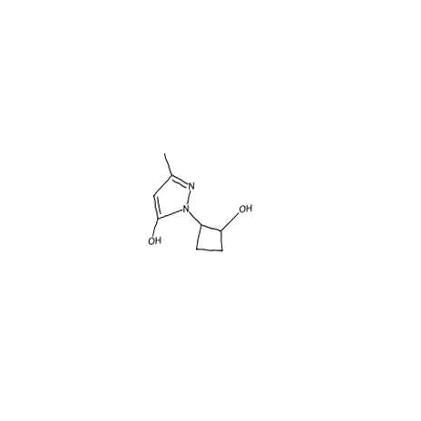 Cc1cc(O)n(C2CCC2O)n1